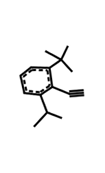 C#Cc1c([C](C)C)cccc1C(C)(C)C